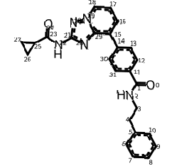 O=C(NCCc1ccccc1)c1ccc(-c2cccn3nc(NC(=O)C4CC4)nc23)cc1